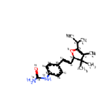 CC1(C)C(C#N)=C(C(C#N)C#N)OC1C=Cc1ccc(NC(N)=O)cc1